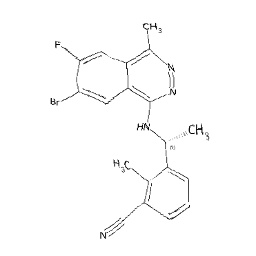 Cc1c(C#N)cccc1[C@@H](C)Nc1nnc(C)c2cc(F)c(Br)cc12